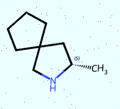 C[C@H]1CC2(CCCC2)CN1